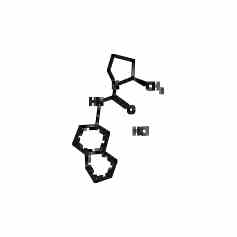 C[C@@H]1CCCN1C(=O)Nc1ccc2ccccc2c1.Cl